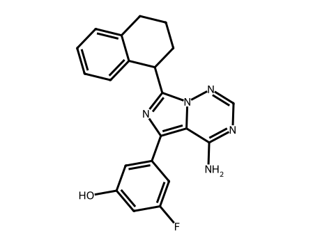 Nc1ncnn2c(C3CCCc4ccccc43)nc(-c3cc(O)cc(F)c3)c12